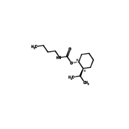 CCCCNC(=O)O[C@@H]1CCCC[C@H]1C(C)C